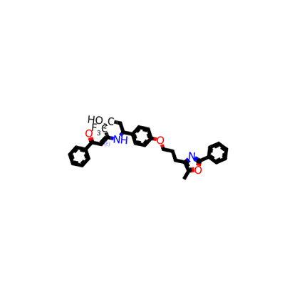 Cc1oc(-c2ccccc2)nc1CCCOc1ccc(C(CC(=O)O)N/C(=C/C(=O)c2ccccc2)C(F)(F)F)cc1